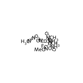 COc1ncc(-c2c(C(=O)Nc3ccccc3)c(C)n(C)c2-c2cc3c(cc2C(=O)N2Cc4ccccc4C[C@H]2C)CN(C(=O)Cc2cccc(N4CC5(CN(C)C5)C4)c2)CC3)cc1F